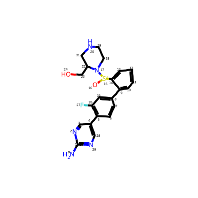 Nc1ncc(-c2ccc(-c3ccccc3[S+]([O-])N3CCNCC3CO)cc2F)cn1